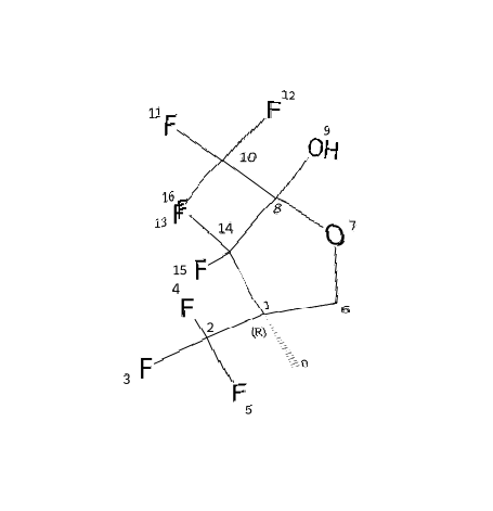 C[C@@]1(C(F)(F)F)COC(O)(C(F)(F)F)C1(F)F